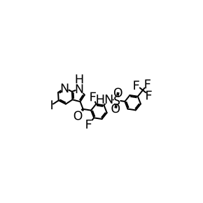 O=C(c1c(F)ccc(NS(=O)(=O)c2cccc(C(F)(F)F)c2)c1F)c1c[nH]c2ncc(I)cc12